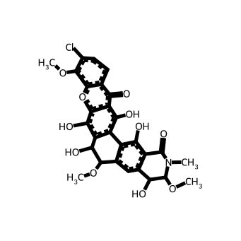 COc1c(Cl)ccc2c(=O)c3c(O)c4c(c(O)c3oc12)C(O)C(OC)c1cc2c(c(O)c1-4)C(=O)N(C)C(OC)C2O